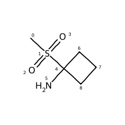 CS(=O)(=O)C1(N)CCC1